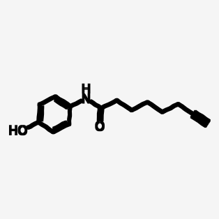 C#CCCCCCC(=O)Nc1ccc(O)cc1